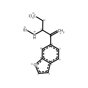 C=C(c1ccc2ccoc2c1)C(CC(Cl)(Cl)Cl)NCC